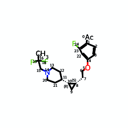 CC(=O)c1ccc(OCC[C@@H]2C[C@@H]2C2CCN(CC(C)(F)F)CC2)cc1F